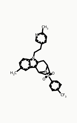 Cc1ccc2c(c1)c1c(n2CCc2ccc(C)nc2)CC2CCC1N2S(=O)(=O)c1ccc(C(F)(F)F)cc1